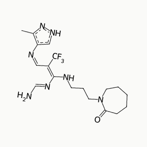 Cc1n[nH]cc1\N=C/C(=C(\N=C\N)NCCCN1CCCCCC1=O)C(F)(F)F